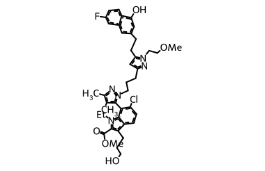 CCn1c(C(=O)OC)c(CCCO)c2ccc(Cl)c(-c3c(C)c(C)nn3CCCc3cc(CCc4cc(O)c5ccc(F)cc5c4)n(CCOC)n3)c21